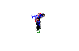 O=C(CC1CN[C@H](C(=O)N2CCSC2)C1)N1CCN(c2ccc(Cl)cc2)CC1